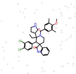 CCC1(C2CCNC2)C(c2ccc(Cl)c(Cl)c2)C(C(N)=O)(c2ccccc2)CCN1C(=O)c1cc(C)c(OC)c(C)c1